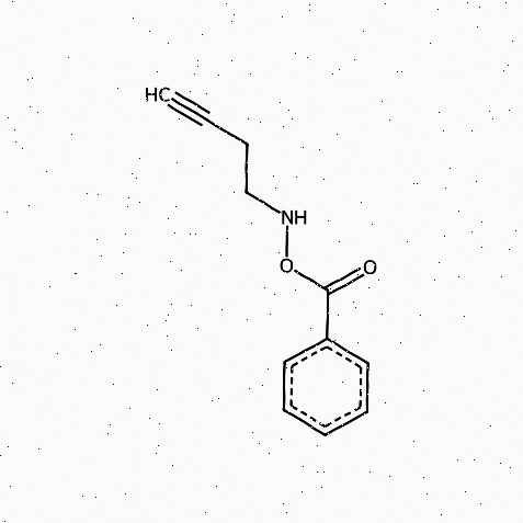 C#CCCNOC(=O)c1ccccc1